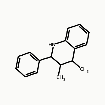 CC1c2ccccc2NC(c2ccccc2)C1C